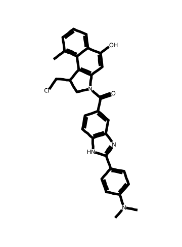 Cc1cccc2c(O)cc3c(c12)C(CCl)CN3C(=O)c1ccc2[nH]c(-c3ccc(N(C)C)cc3)nc2c1